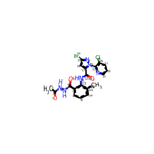 CC(=O)NNC(=O)c1cccc(C)c1NC(=O)c1cc(Br)nn1-c1ncccc1Cl